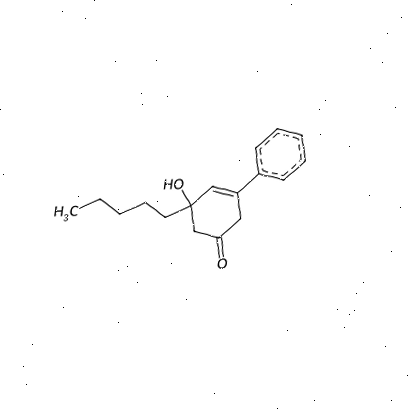 CCCCCC1(O)C=C(c2ccccc2)CC(=O)C1